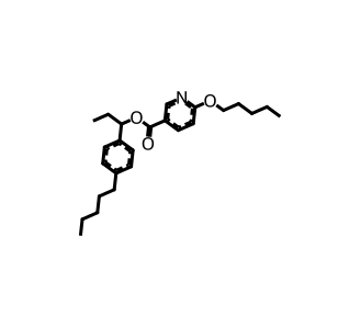 CCCCCOc1ccc(C(=O)OC(CC)c2ccc(CCCCC)cc2)cn1